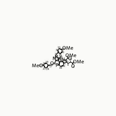 COC(=O)CCc1c(C(=O)OC)[nH]c2c(-c3c(COCc4ccc(OC)cc4)nn(Cc4ccc(OC)cc4)c3C)c(F)ccc12